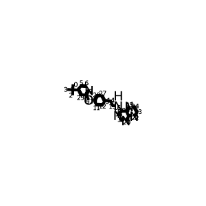 CC(C)(C)c1ccnc(Oc2ccc(CCNc3ncnc4nccnc34)cc2)c1